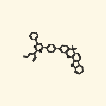 C=C/C=C(\C=C)c1nc(-c2ccccc2)cc(-c2ccc(-c3ccc4c(c3)Oc3c(ccc5c3OC3C=CC=CC53)C4(C)C)cc2)n1